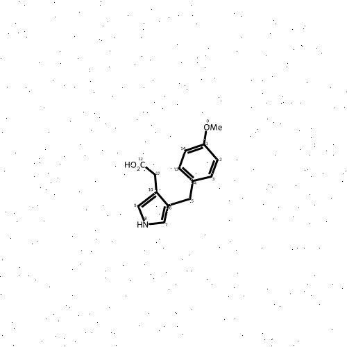 COc1ccc(Cc2c[nH]cc2CC(=O)O)cc1